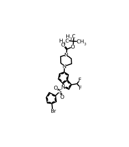 CC(C)(C)OC(=O)N1CCN(c2ccc3c(c2)c(C(F)F)cn3S(=O)(=O)c2cccc(Br)c2)CC1